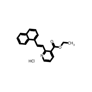 CCOC(=O)c1cccnc1C=Cc1cccc2ccccc12.Cl